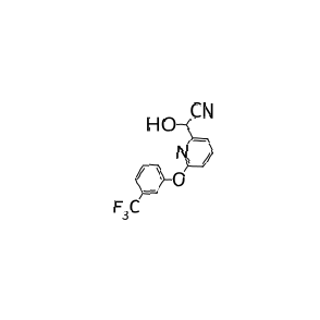 N#CC(O)c1cccc(Oc2cccc(C(F)(F)F)c2)n1